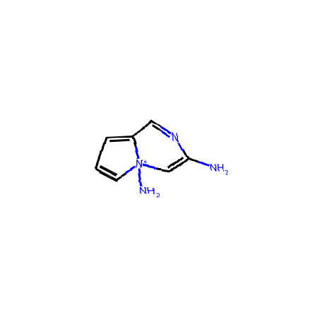 NC1=C[N+]2(N)C=CC=C2C=N1